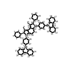 Cc1c(-c2ccccc2)n(-c2ccc(-n3c4ccccc4c4ccccc43)cc2)c2ccc3c(c(C)c(-c4ccccc4)n3-c3ccc(-n4c5ccccc5c5ccccc54)cc3)c12